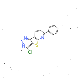 Clc1nnnc2c1sc1nc(-c3ccccc3)ccc12